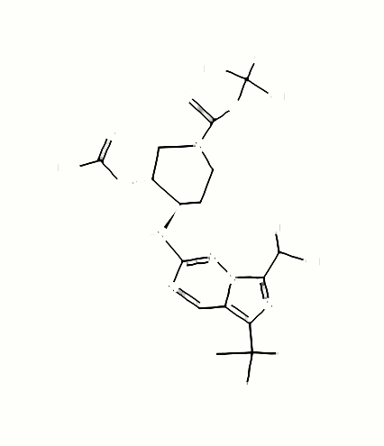 CC(=O)O[C@@H]1CN(C(=O)OC(C)(C)C)CC[C@H]1Nc1ncc2c(C(F)(F)F)nc(C(C)C)n2n1